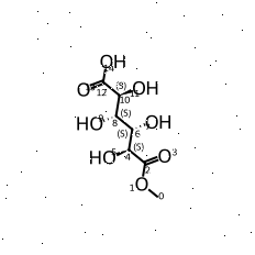 COC(=O)[C@@H](O)[C@@H](O)[C@H](O)[C@H](O)C(=O)O